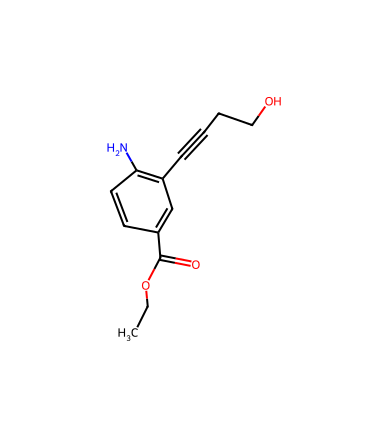 CCOC(=O)c1ccc(N)c(C#CCCO)c1